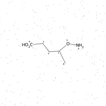 CC(CCC(=O)O)ON